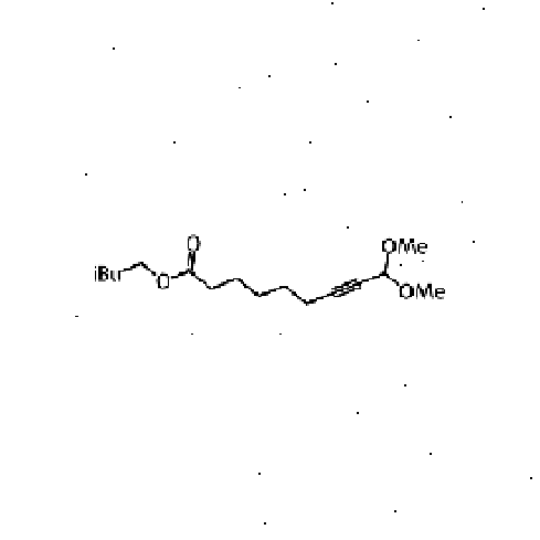 CCC(C)COC(=O)CCCCCC#CC(OC)OC